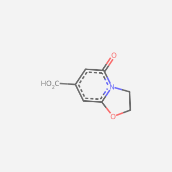 O=C(O)c1cc2n(c(=O)c1)CCO2